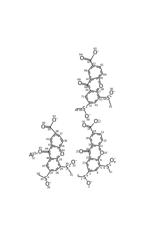 C[S+]([O-])c1cc([S+](C)[O-])c2oc3ccc(C(=O)[O-])cc3c(=O)c2c1.C[S+]([O-])c1cc([S+](C)[O-])c2oc3ccc(C(=O)[O-])cc3c(=O)c2c1.C[S+]([O-])c1cc([S+](C)[O-])c2oc3ccc(C(=O)[O-])cc3c(=O)c2c1.[Al+3]